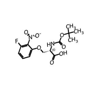 CC(C)(C)OC(=O)N[C@@H](COc1cccc(F)c1[N+](=O)[O-])C(=O)O